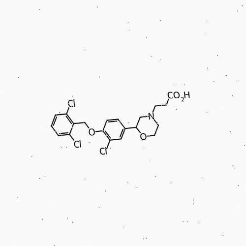 O=C(O)CCN1CCOC(c2ccc(OCc3c(Cl)cccc3Cl)c(Cl)c2)C1